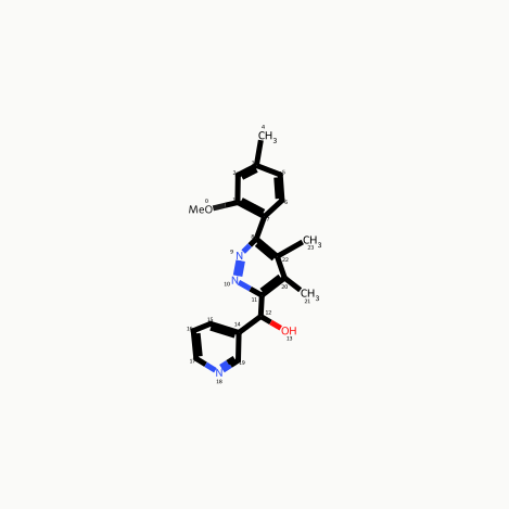 COc1cc(C)ccc1-c1nnc(C(O)c2cccnc2)c(C)c1C